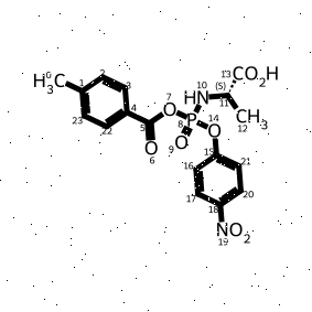 Cc1ccc(C(=O)OP(=O)(N[C@@H](C)C(=O)O)Oc2ccc([N+](=O)[O-])cc2)cc1